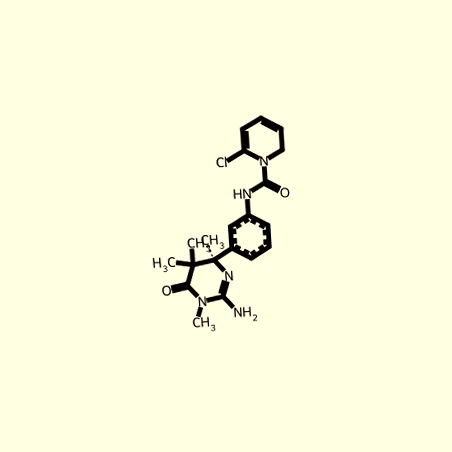 CN1C(=O)C(C)(C)[C@@](C)(c2cccc(NC(=O)N3CC=CC=C3Cl)c2)N=C1N